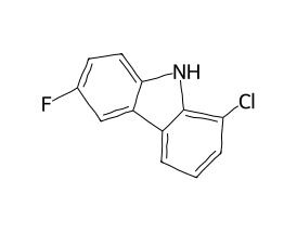 Fc1ccc2[nH]c3c(Cl)cccc3c2c1